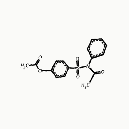 CC(=O)Oc1ccc(S(=O)(=O)N(C(C)=O)c2ccccc2)cc1